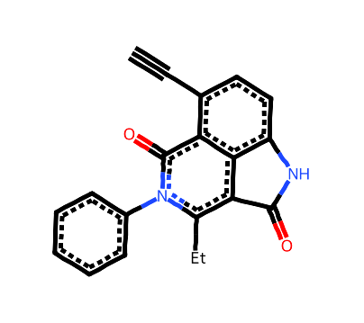 C#Cc1ccc2c3c(c(CC)n(-c4ccccc4)c(=O)c13)C(=O)N2